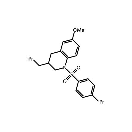 COc1ccc2c(c1)CC(CC(C)C)CN2S(=O)(=O)c1ccc(C(C)C)cc1